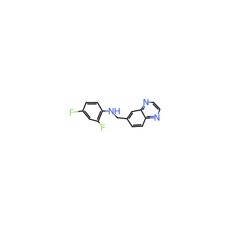 Fc1ccc(NCc2ccc3nccnc3c2)c(F)c1